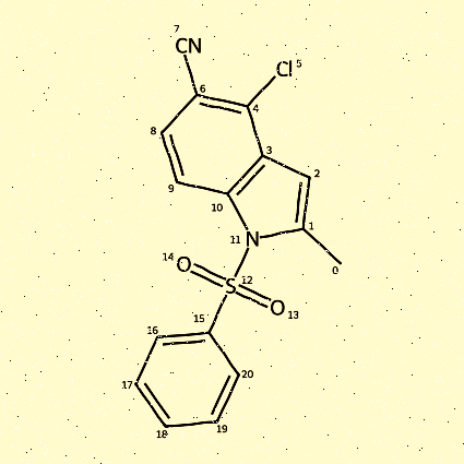 Cc1cc2c(Cl)c(C#N)ccc2n1S(=O)(=O)c1ccccc1